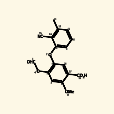 COc1cc(OC=O)c(Oc2cccc(C)c2C#N)cc1C(=O)O